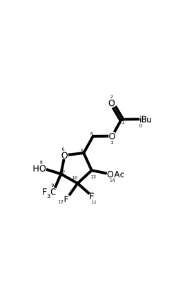 CCC(C)C(=O)OCC1OC(O)(C(F)(F)F)C(F)(F)C1OC(C)=O